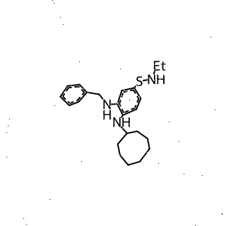 CCNSc1ccc(NC2CCCCCCC2)c(NCc2ccccc2)c1